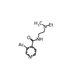 CCN(C)CCNC(=O)c1ccncc1C(C)=O